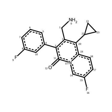 NCc1c(-c2cccc(F)c2)c(=O)n2cc(F)ccc2c1C1CC1